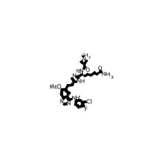 COc1cc2ncnc(Nc3ccc(F)c(Cl)c3)c2cc1CCC1CN=C([C@H](CCCCCC(N)=O)NC(=O)C2CN(C)C2)N1